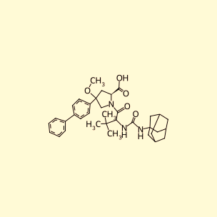 COC1(c2ccc(-c3ccccc3)cc2)C[C@@H](C(=O)O)N(C(=O)C(NC(=O)NC23CC4CC(CC(C4)C2)C3)C(C)(C)C)C1